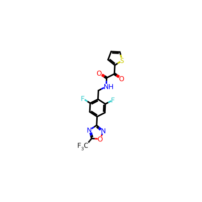 O=C(NCc1c(F)cc(-c2noc(C(F)(F)F)n2)cc1F)C(=O)c1cccs1